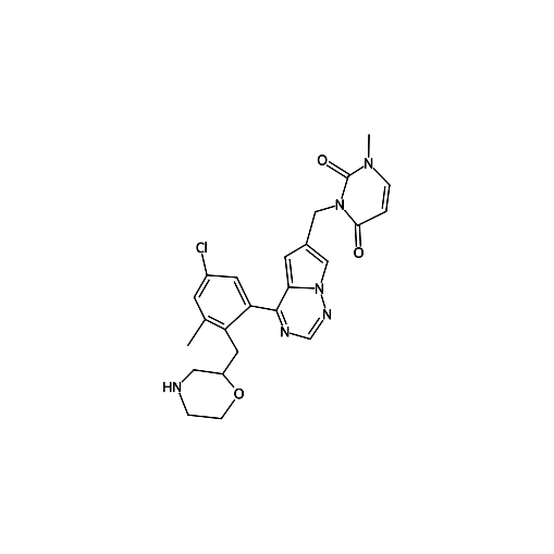 Cc1cc(Cl)cc(-c2ncnn3cc(Cn4c(=O)ccn(C)c4=O)cc23)c1CC1CNCCO1